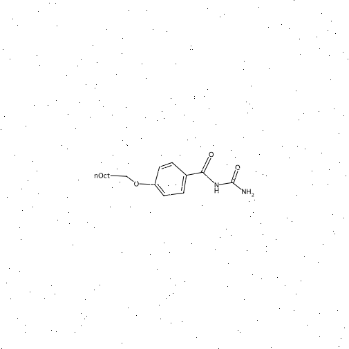 CCCCCCCCCOc1ccc(C(=O)NC(N)=O)cc1